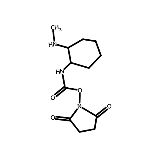 CNC1CCCCC1NC(=O)ON1C(=O)CCC1=O